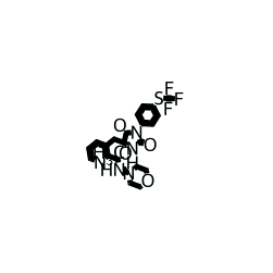 CC1(Cc2cccnc2C(=O)NN2CCOCC2)NC(=O)N(c2ccc(SC(F)(F)F)cc2)C1=O